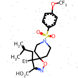 C=C(C)CC1(CC)C(C(=O)O)=NOC12CCN(S(=O)(=O)c1ccc(OC(F)(F)F)cc1)CC2